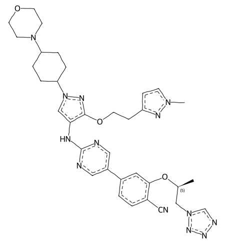 C[C@@H](Cn1cnnn1)Oc1cc(-c2cnc(Nc3cn(C4CCC(N5CCOCC5)CC4)nc3OCCc3ccn(C)n3)nc2)ccc1C#N